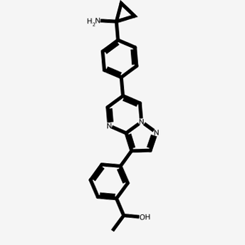 CC(O)c1cccc(-c2cnn3cc(-c4ccc(C5(N)CC5)cc4)cnc23)c1